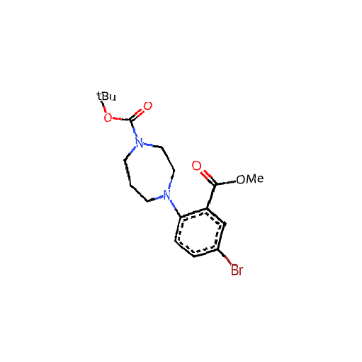 COC(=O)c1cc(Br)ccc1N1CCCN(C(=O)OC(C)(C)C)CC1